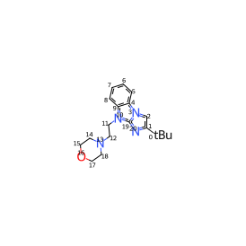 CC(C)(C)c1cn2c3ccccc3n(CCN3CCOCC3)c2n1